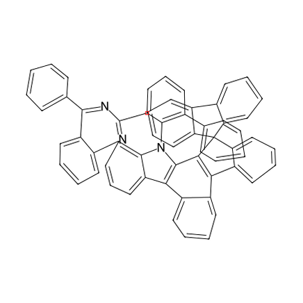 c1ccc(-c2cccc(-c3nc(-c4ccccc4)c4ccccc4n3)c2-n2c3ccccc3c3c4ccccc4c4c(c32)C2(c3ccccc3-c3ccccc32)c2ccccc2-4)cc1